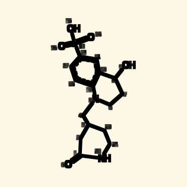 O=C1CC(CN2CCC(O)c3cc(S(=O)(=O)O)ccc32)CCN1